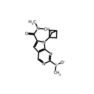 CN(C)C(=O)c1cc2cnc([S+](C)[O-])nc2n1C12CC(C1)C2